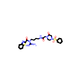 N=C(N)N(CCCCNC(=O)CN1CCN(S(=O)(=O)c2ccccc2)CC1=O)C(=O)c1nc2ccccc2s1